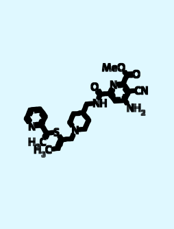 C=C(S/C(=C\C)CN1CCC(CNC(=O)c2cc(N)c(C#N)c(C(=O)OC)n2)CC1)c1ccccn1